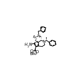 CC(=O)N(Cc1ccccc1)C[C@H]1c2sc(N)c(C(=O)OC(C)(C)C)c2CCN1[C@@H](C)c1ccccc1